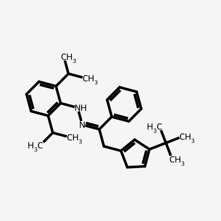 CC(C)c1cccc(C(C)C)c1NN=C(CC1=CC(C(C)(C)C)=CC1)c1ccccc1